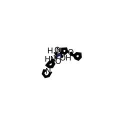 NC1(/C(O)=C(\C=O)C(=O)Nc2ccc(N3CCCCC3)cc2)CC[C@@H](OCc2ccccc2)C1